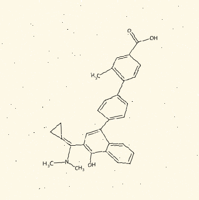 Cc1cc(C(=O)O)ccc1-c1ccc(-c2cc(C(=C3CC3)N(C)C)c(O)c3ccccc23)cc1